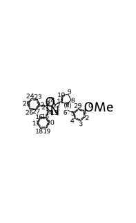 COc1cccc(C[C@H]2CCC=C2c2nc(-c3ccccc3)c(-c3ccccc3)o2)c1